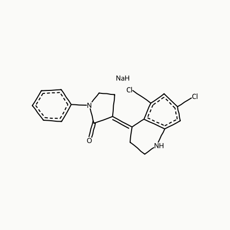 O=C1C(=C2CCNc3cc(Cl)cc(Cl)c32)CCN1c1ccccc1.[NaH]